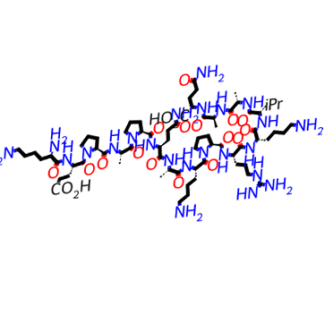 CC(C)[C@H](NC(=O)[C@H](CCCCN)NC(=O)[C@H](CCCNC(=N)N)NC(=O)[C@@H]1CCCN1C(=O)[C@H](CCCCN)NC(=O)[C@H](C)NC(=O)[C@H](CCC(N)=O)NC(=O)[C@@H]1CCCN1C(=O)[C@H](C)NC(=O)[C@@H]1CCCN1C(=O)[C@H](CCC(=O)O)NC(=O)[C@@H](N)CCCCN)C(=O)N[C@@H](C)C(=O)N[C@@H](C)C(=O)N[C@@H](CCC(N)=O)C(=O)O